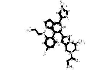 C=CC(=O)N1Cc2cc(-c3nc(-c4cn(C)cn4)c4ccsc4c3-c3c(F)cc(F)cc3OCCO)nn2[C@@H](C)C1